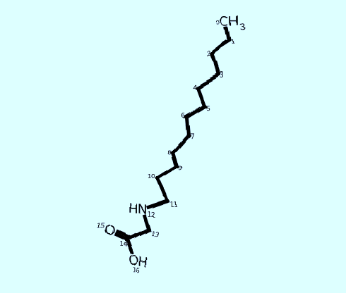 CCCCCCCCCCCCNCC(=O)O